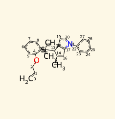 C=CCOc1ccccc1[Si](C)(C)C1C(C)=Cc2c1ccn2-c1ccccc1